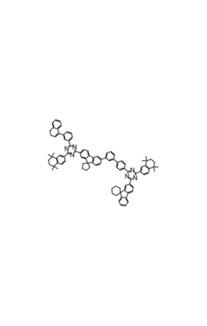 CC1(C)CCC(C)(C)c2cc(-c3nc(-c4ccc(-c5cccc(-c6ccc7c(c6)-c6ccc(-c8nc(-c9cccc(C%10=CCCc%11ccccc%11%10)c9)nc(-c9ccc%10c(c9)C(C)(C)CCC%10(C)C)n8)cc6C76CCCC6)c5)cc4)nc(-c4ccc5c(c4)C4(CCCCC4)c4ccccc4-5)n3)ccc21